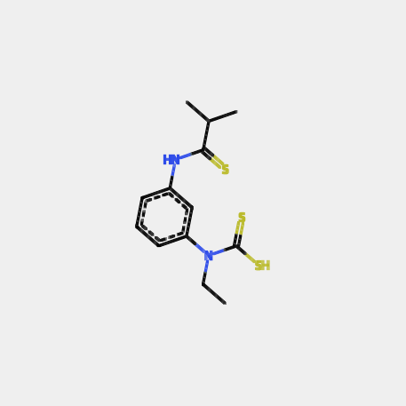 CCN(C(=S)S)c1cccc(NC(=S)C(C)C)c1